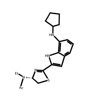 CCN(C(C)=O)[C@H]1CSC(c2cc3cccc(NC4CCCC4)c3[nH]2)=N1